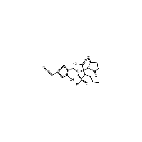 CCCC(C(NCc1ccc(N=[N+]=[N-])cc1O)(C(=O)O)N1C(=O)CCC1=O)S(=O)(=O)O